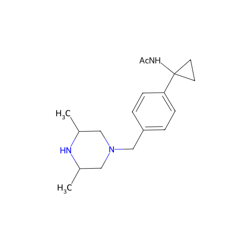 CC(=O)NC1(c2ccc(CN3CC(C)NC(C)C3)cc2)CC1